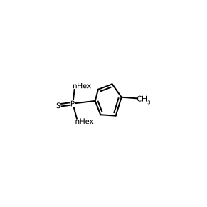 CCCCCCP(=S)(CCCCCC)c1ccc(C)cc1